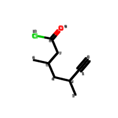 C#CC(C)CC(C)CC(=O)Cl